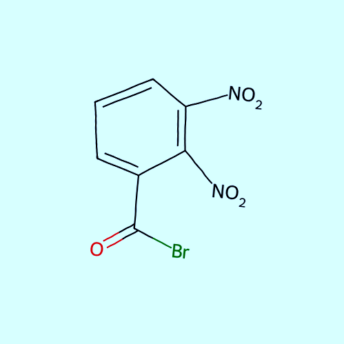 O=C(Br)c1cccc([N+](=O)[O-])c1[N+](=O)[O-]